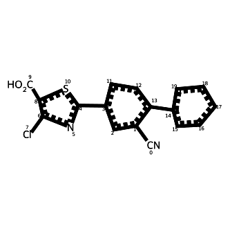 N#Cc1cc(-c2nc(Cl)c(C(=O)O)s2)ccc1-c1ccccc1